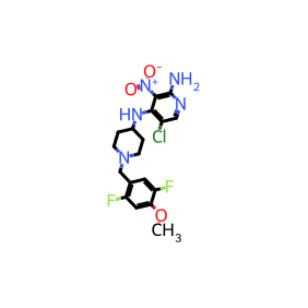 COc1cc(F)c(CN2CCC(Nc3c(Cl)cnc(N)c3[N+](=O)[O-])CC2)cc1F